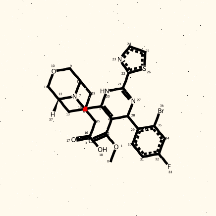 COC(=O)C1=C(CN2C3COC[C@H]2CC(CC(=O)O)C3)NC(c2nccs2)=NC1c1ccc(F)cc1Br